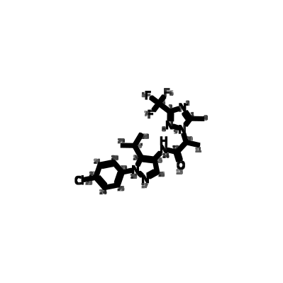 Cc1nc(C(F)(F)F)nn1C(C)C(=O)Nc1cnn(-c2ccc(Cl)cc2)c1C(C)C